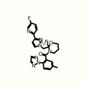 Cc1ccc(-n2nccn2)c(C(=O)N2CCCOC2(N)Cn2ccc(-c3ccc(F)cn3)n2)c1